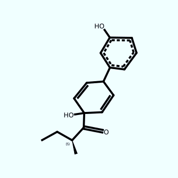 CC[C@H](C)C(=O)C1(O)C=CC(c2cccc(O)c2)C=C1